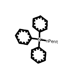 CCCCC[N+](c1ccccc1)(c1ccccc1)c1ccccc1